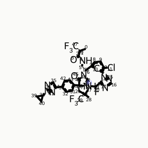 C[C@H](C(=O)NC[C@@H]1c2ccc(Cl)c(c2)-n2ncnc2C(F)/N=C2\N[C@](CC(C)(C)C(F)(F)F)(c3ccc(-c4cnn(C5CC5)n4)cc3)C(=O)N21)C(F)(F)F